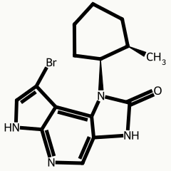 C[C@@H]1CCCC[C@@H]1n1c(=O)[nH]c2cnc3[nH]cc(Br)c3c21